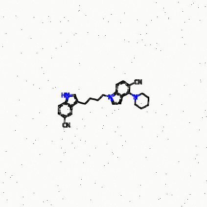 N#Cc1ccc2[nH]cc(CCCCn3ccc4c(N5CCCCC5)c(C#N)ccc43)c2c1